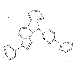 c1ccc(-c2ccc(-n3c4ccccc4c4ccc5c(ccn5-c5ccccc5)c43)nn2)cc1